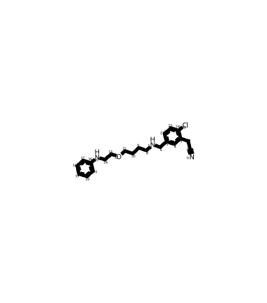 N#CCc1cc(CNCCCCOCCNc2ccccc2)ccc1Cl